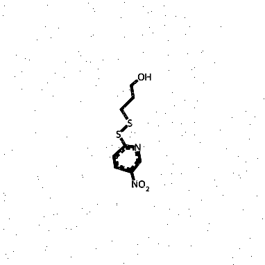 O=[N+]([O-])c1ccc(SSCCCO)nc1